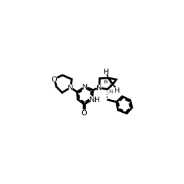 O=c1cc(N2CCOCC2)nc(N2C[C@@H]3C[C@@H]3[C@@H]2Cc2ccccc2)[nH]1